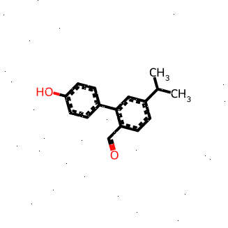 CC(C)c1ccc(C=O)c(-c2ccc(O)cc2)c1